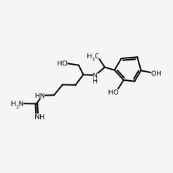 CC(NC(CO)CCCNC(=N)N)c1ccc(O)cc1O